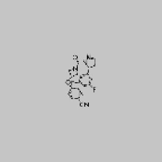 N#Cc1ccc(OC2CN(C(=O)N3N=CC[C@H]3c3cc(F)cc(F)c3)C2)cn1